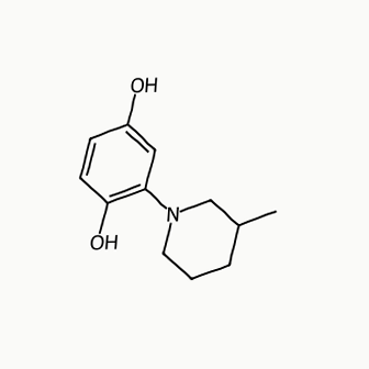 CC1CCCN(c2cc(O)ccc2O)C1